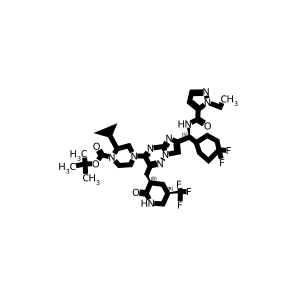 CCn1nccc1C(=O)N[C@H](c1cn2nc(C[C@H]3C[C@@H](C(F)(F)F)CNC3=O)c(N3CCN(C(=O)OC(C)(C)C)C(C4CC4)C3)nc2n1)C1CCC(F)(F)CC1